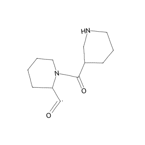 O=[C]C1CCCCN1C(=O)C1CCCNC1